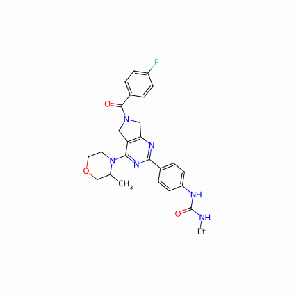 CCNC(=O)Nc1ccc(-c2nc3c(c(N4CCOCC4C)n2)CN(C(=O)c2ccc(F)cc2)C3)cc1